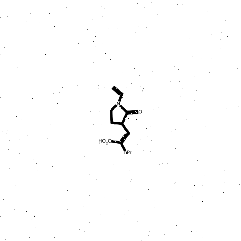 C=CN1CCC(C=C(CCC)C(=O)O)C1=O